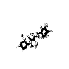 COc1cc(F)ccc1N(C=O)C(C)C(=O)C(=O)NCc1cccc(Cl)c1